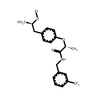 CCO[C@@H](Cc1ccc(O[C@H](C)C(=O)NCc2cccc(C(F)(F)F)c2)cc1)C(=O)O